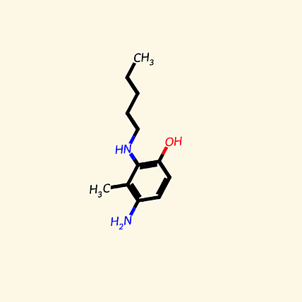 CCCCCNc1c(O)ccc(N)c1C